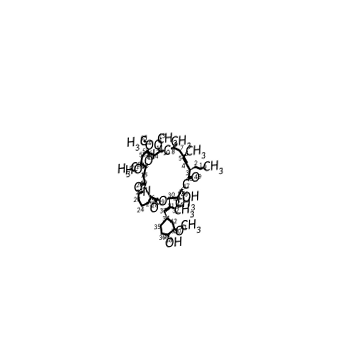 CCC[C@@H]1/C=C(\C)C[C@H](C)C[C@H](OC)[C@H]2O[C@@](O)(CC(=O)N3CCCCC3C(=O)O[C@H](/C(C)=C/[C@@H]3CCC(O)[C@H](OC)C3)[C@H](C)[C@@H](O)CC1=O)[C@H](C)C[C@@H]2OC